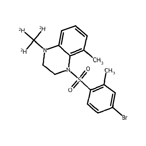 [2H]C([2H])([2H])N1CCN(S(=O)(=O)c2ccc(Br)cc2C)c2c(C)cccc21